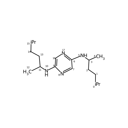 CC(C)CCC(C)Nc1cnc(NC(C)CCC(C)C)cn1